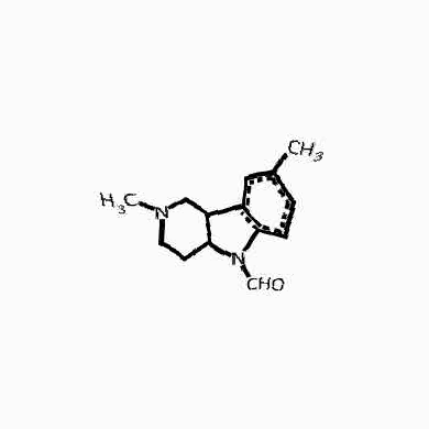 Cc1ccc2c(c1)C1CN(C)CCC1N2C=O